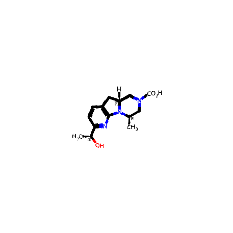 C[C@H](O)c1ccc2c(n1)N1[C@H](C2)CN(C(=O)O)C[C@H]1C